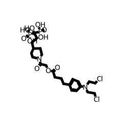 O=C(CCCc1ccc(N(CCCl)CCCl)cc1)OCC(=O)N1CCC(CCC(O)(P(=O)(O)O)P(=O)(O)O)CC1